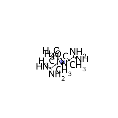 CC(C)(/N=N/C(C)(C)C(=N)N)C(=N)N.O.O